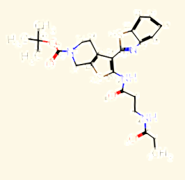 CCC(=O)NCCC(=O)Nc1sc2c(c1-c1nc3ccccc3s1)CCN(C(=O)OC(C)(C)C)C2